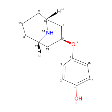 Oc1ccc(O[C@@H]2C[C@H]3CCC[C@@H](C2)N3)cc1